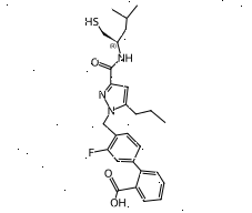 CCCc1cc(C(=O)N[C@@H](CS)CC(C)C)nn1Cc1ccc(-c2ccccc2C(=O)O)cc1F